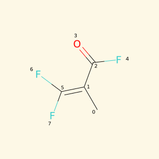 CC(C(=O)F)=C(F)F